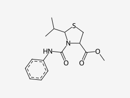 COC(=O)C1CSC(C(C)C)N1C(=O)Nc1ccccc1